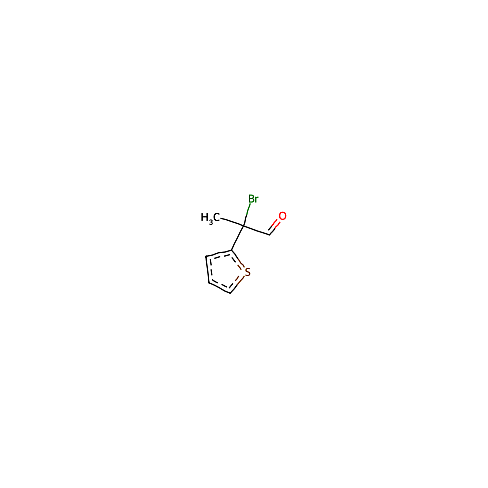 CC(Br)(C=O)c1cccs1